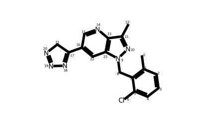 Cc1cccc(Cl)c1Cn1nc(C)c2ncc(C3=NN=NC3)cc21